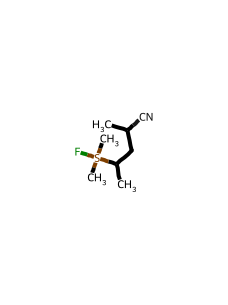 CC(C#N)CC(C)S(C)(C)F